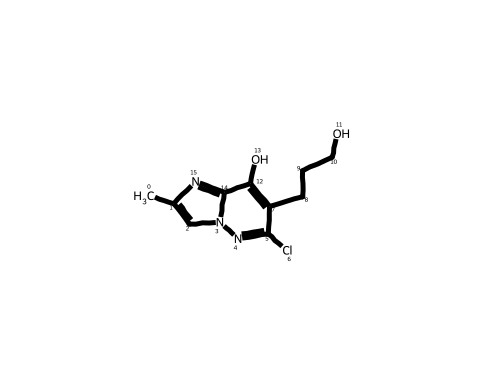 Cc1cn2nc(Cl)c(CCCO)c(O)c2n1